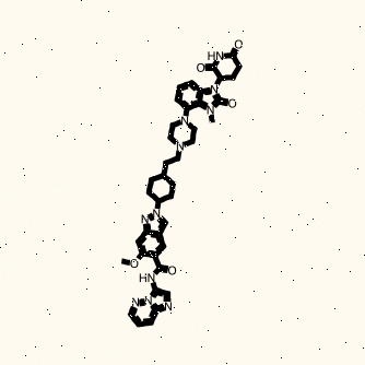 COc1cc2nn(C3CCC(CCN4CCN(c5cccc6c5n(C)c(=O)n6C5CCC(=O)NC5=O)CC4)CC3)cc2cc1C(=O)Nc1cnc2cccnn12